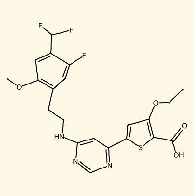 CCOc1cc(-c2cc(NCCc3cc(F)c(C(F)F)cc3OC)ncn2)sc1C(=O)O